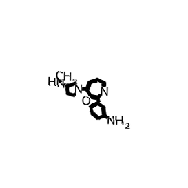 CN[C@@H]1CCN(C2=C=CC=Nc3c2oc2ccc(N)cc32)C1